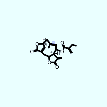 C=C(CC)C(=O)OC1/C=C(\C)C[C@@H]2C=C(CC3OC(=O)C(=C)[C@@H]13)C(=O)O2